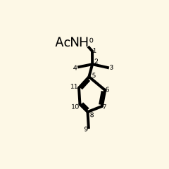 CC(=O)NCC(C)(C)c1ccc(C)cc1